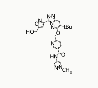 Cn1cc(NC(=O)c2ccc(COc3nn4c(-c5cc(CO)on5)nnc4cc3C(C)(C)C)nc2)cn1